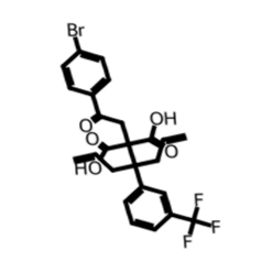 C=CCC(CC=C)(c1cccc(C(F)(F)F)c1)C(CC(=O)c1ccc(Br)cc1)(C(=O)O)C(=O)O